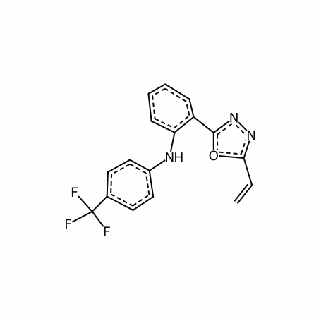 C=Cc1nnc(-c2ccccc2Nc2ccc(C(F)(F)F)cc2)o1